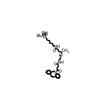 CCC(C)P(=O)(O)OCCCCCCNC(=O)CCC(C)SSCCNC(=O)CCC(=O)N1Cc2ccccc2/C=C\c2ccccc21